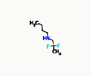 CCCCNCC(C)(F)F